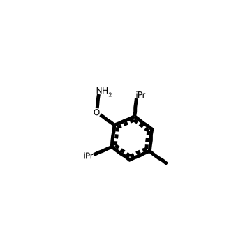 Cc1cc(C(C)C)c(ON)c(C(C)C)c1